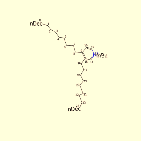 CCCCCCCCCCCCCCCCCCc1cc[n+](CCCC)cc1CCCCCCCCCCCCCCCCCC